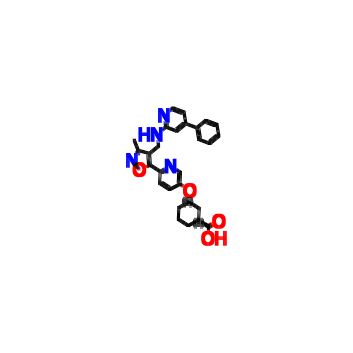 Cc1noc(-c2ccc(O[C@H]3CCC[C@H](C(=O)O)C3)cn2)c1CNc1cc(-c2ccccc2)ccn1